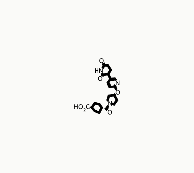 O=C1CCC(c2ccc(OC3CCN(C(=O)[C@H]4CC[C@H](C(=O)O)CC4)CC3)nc2)C(=O)N1